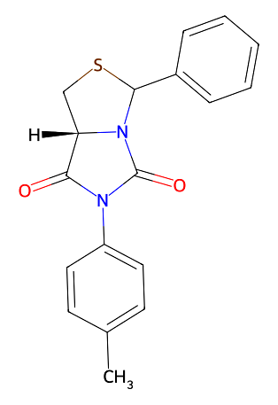 Cc1ccc(N2C(=O)[C@@H]3CSC(c4ccccc4)N3C2=O)cc1